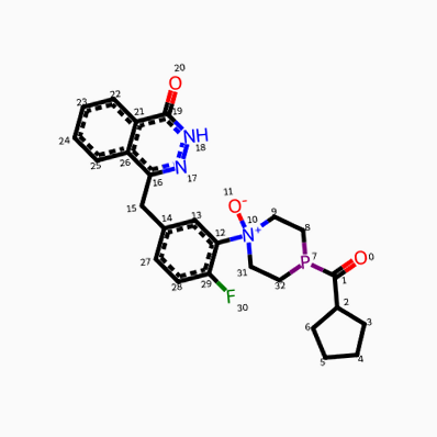 O=C(C1CCCC1)P1CC[N+]([O-])(c2cc(Cc3n[nH]c(=O)c4ccccc34)ccc2F)CC1